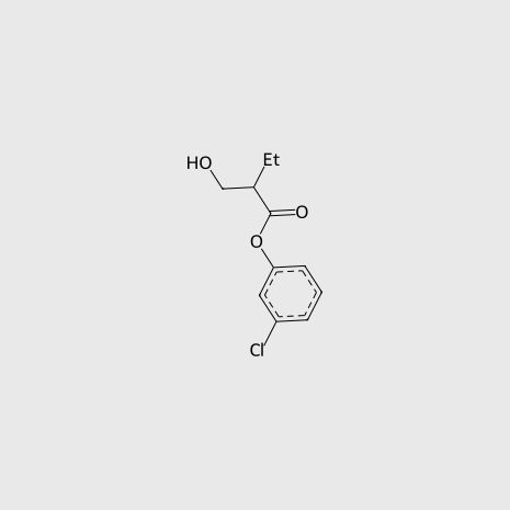 CCC(CO)C(=O)Oc1cccc(Cl)c1